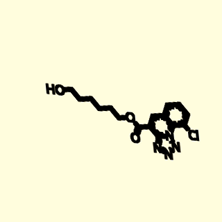 O=C(OCCCCCCO)c1cc2cccc(Cl)c2n2nnnc12